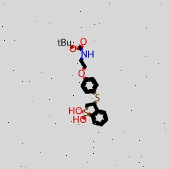 CC(C)(C)OC(=O)NCCOc1ccc(SC2CS(O)(O)c3ccccc32)cc1